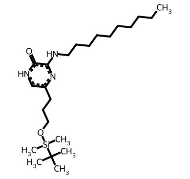 CCCCCCCCCCNc1nc(CCCO[Si](C)(C)C(C)(C)C)c[nH]c1=O